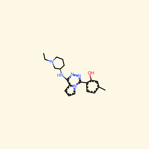 CCN1CCC[C@@H](Nc2nnc(-c3ccc(C)cc3O)n3cccc23)C1